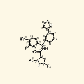 CC(=O)N1CC(F)CC1C(=O)NC(c1cccc(-c2ccno2)c1)c1ccc(C(C)C)c(F)n1